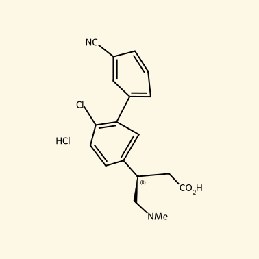 CNC[C@H](CC(=O)O)c1ccc(Cl)c(-c2cccc(C#N)c2)c1.Cl